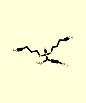 C#CCCCOP(=O)(OCCCC#C)C(C#CC)C(=O)O